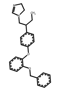 CCC(CN1C=NCC1)c1ccc(Oc2ccccc2OCc2ccccc2)cc1